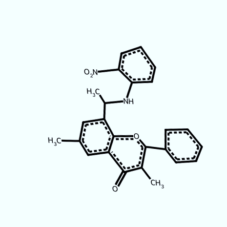 Cc1cc(C(C)Nc2ccccc2[N+](=O)[O-])c2oc(-c3ccccc3)c(C)c(=O)c2c1